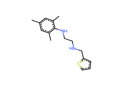 Cc1cc(C)c(NCCNCc2cccs2)c(C)c1